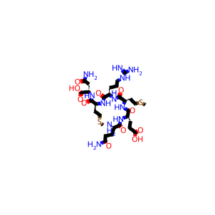 CSCC[C@H](NC(=O)[C@H](CCCNC(=N)N)NC(=O)[C@H](CCSC)NC(=O)[C@H](CCC(=O)O)NC(=O)[C@@H](N)CCC(N)=O)C(=O)N[C@@H](CC(N)=O)C(=O)O